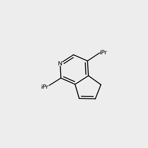 CC(C)c1cnc(C(C)C)c2c1CC=C2